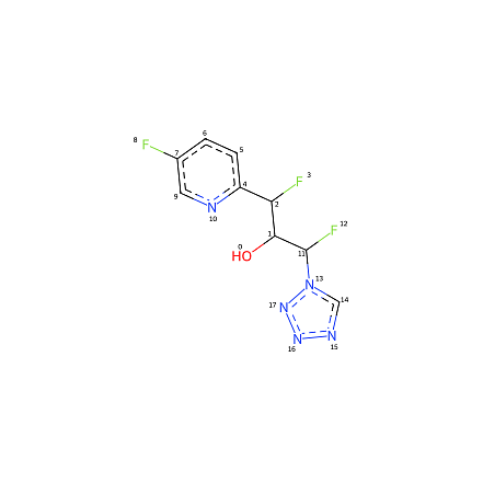 OC(C(F)c1ccc(F)cn1)C(F)n1cnnn1